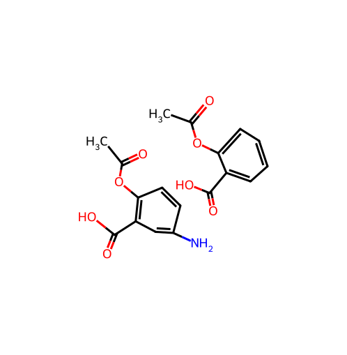 CC(=O)Oc1ccc(N)cc1C(=O)O.CC(=O)Oc1ccccc1C(=O)O